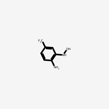 Nc1ccc(C(F)(F)F)cc1NO